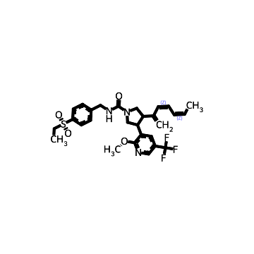 C=C(/C=C\C=C/C)C1CN(C(=O)NCc2ccc(S(=O)(=O)CC)cc2)CC1c1cc(C(F)(F)F)cnc1OC